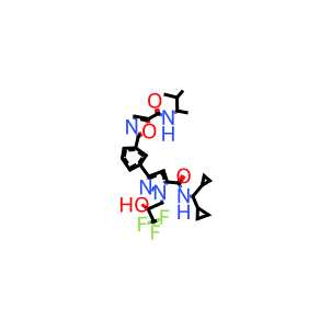 CC(C)C(C)NC(=O)c1cnc(-c2cccc(-c3cc(C(=O)NC(C4CC4)C4CC4)n(CC(O)C(F)(F)F)n3)c2)o1